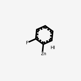 Fc1cccc[c]1[Zn].I